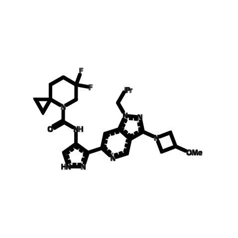 COC1CN(c2nn(CC(C)C)c3cc(-c4n[nH]cc4NC(=O)N4CC(F)(F)CCC45CC5)ncc23)C1